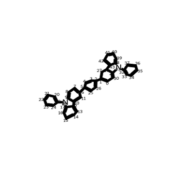 C1=C(c2ccc(-c3ccc4c(c3)c3ccccc3n4-c3ccccc3)cc2)CC2C(=C1)N(c1ccccc1)c1ccccc12